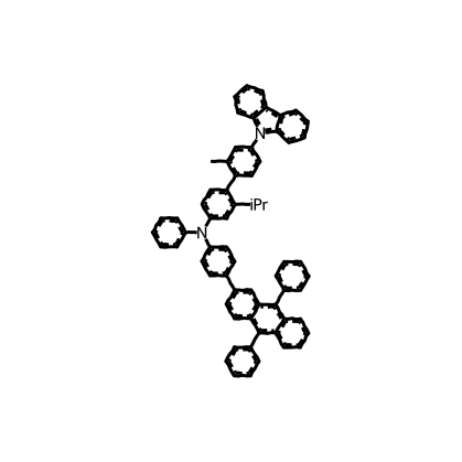 Cc1cc(-n2c3ccccc3c3ccccc32)ccc1-c1ccc(N(c2ccccc2)c2ccc(-c3ccc4c(-c5ccccc5)c5ccccc5c(-c5ccccc5)c4c3)cc2)cc1C(C)C